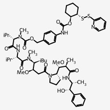 CC[C@H](C)[C@@H]([C@@H](CC(=O)N1CCC[C@H]1[C@H](OC)[C@@H](C)C(=O)N[C@H](C)[C@@H](O)c1ccccc1)OC)N(C)C(=O)[C@@H](NC(=O)[C@H](C(C)C)N(C)C(=O)OCc1ccc(NC(=O)O[C@H]2CCCC[C@@H]2SSc2ccccn2)cc1)C(C)C